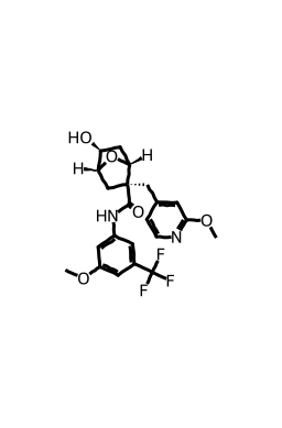 COc1cc(NC(=O)[C@@]2(Cc3ccnc(OC)c3)C[C@H]3O[C@@H]2C[C@@H]3O)cc(C(F)(F)F)c1